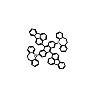 c1ccc2c(c1)CCc1ccccc1N2c1ccc2c(-c3ccc4c5c(cccc35)-c3ccccc3-4)c3cc(N4c5ccccc5CCc5ccccc54)ccc3c(-c3ccc4c5c(cccc35)-c3ccccc3-4)c2c1